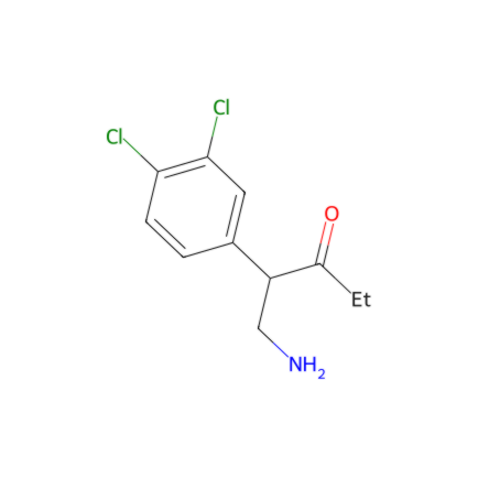 CCC(=O)C(CN)c1ccc(Cl)c(Cl)c1